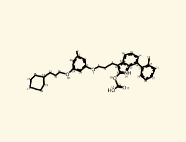 Cc1cc(OCCCc2c(OC(=O)O)[nH]c3c(-c4ccccc4C)cccc23)cc(OCCCC2CCCCC2)c1